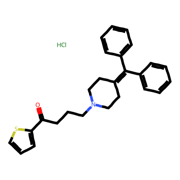 Cl.O=C(CCCN1CCC(=C(c2ccccc2)c2ccccc2)CC1)c1cccs1